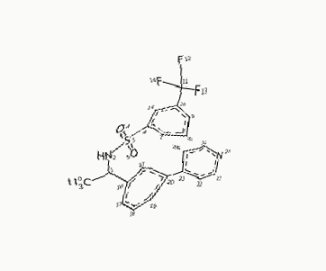 CC(NS(=O)(=O)c1cccc(C(F)(F)F)c1)c1cccc(-c2ccncc2)c1